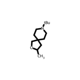 CC1CC2(CCN(C(C)(C)C)CC2)CO1